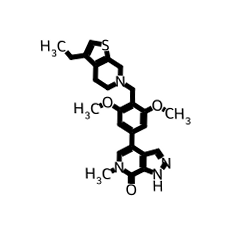 CCc1csc2c1CCN(Cc1c(OC)cc(-c3cn(C)c(=O)c4[nH]ncc34)cc1OC)C2